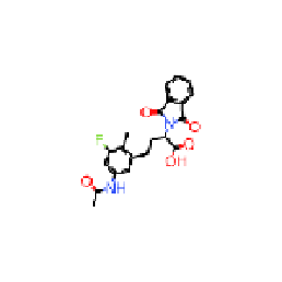 CC(=O)Nc1cc(F)c(C)c(CCC(C(=O)O)N2C(=O)c3ccccc3C2=O)c1